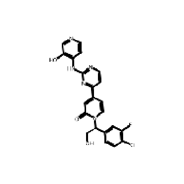 O=c1cc(-c2ccnc(Nc3ccncc3O)n2)ccn1[C@H](CO)c1ccc(Cl)c(F)c1